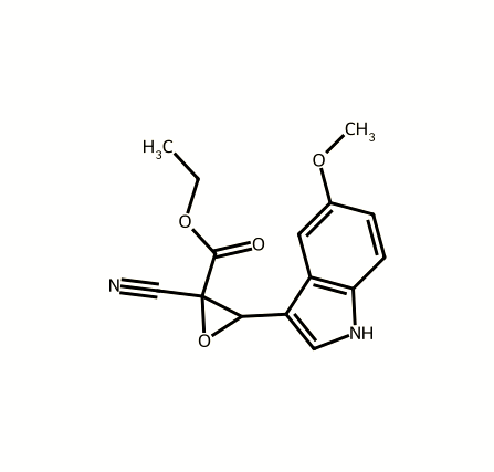 CCOC(=O)C1(C#N)OC1c1c[nH]c2ccc(OC)cc12